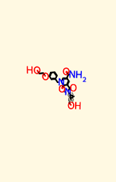 CN(C(=O)c1cc(C(N)=O)cn(Cc2cccc(OCCO)c2)c1=O)[C@H]1C[C@@H]1CO